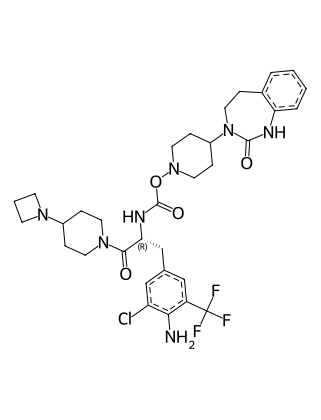 Nc1c(Cl)cc(C[C@@H](NC(=O)ON2CCC(N3CCc4ccccc4NC3=O)CC2)C(=O)N2CCC(N3CCC3)CC2)cc1C(F)(F)F